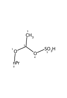 CCCOC(C)OS(=O)(=O)O